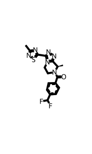 Cc1nsc(-c2nnc3n2CCN(C(=O)c2ccc(C(F)F)cc2)[C@@H]3C)n1